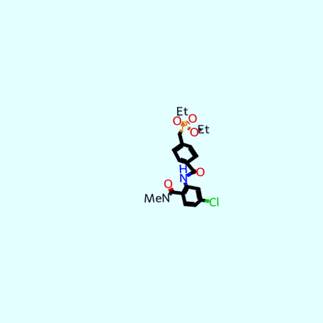 CCOP(=O)(Cc1ccc(C(=O)Nc2cc(Cl)ccc2C(=O)NC)cc1)OCC